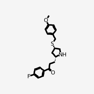 COc1ccc(CS[C@H]2CN[C@H](CCC(=O)c3ccc(F)cc3)C2)cc1